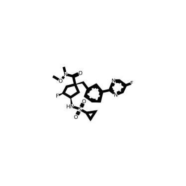 CON(C)C(=O)[C@@]1(Cc2cccc(-c3ncc(F)cn3)c2)C[C@H](F)[C@H](NS(=O)(=O)C2CC2)C1